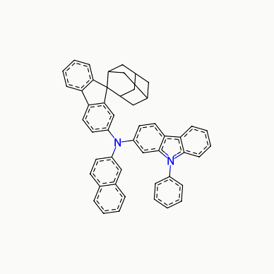 c1ccc(-n2c3ccccc3c3ccc(N(c4ccc5c(c4)C4(c6ccccc6-5)C5CC6CC(C5)CC4C6)c4ccc5ccccc5c4)cc32)cc1